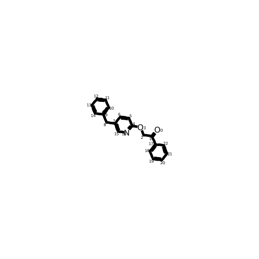 O=C(COc1ccc(Cc2ccccc2)cn1)c1ccccc1